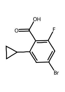 O=C(O)c1c(F)cc(Br)cc1C1CC1